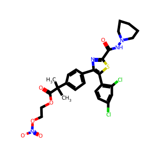 CC(C)(C(=O)OCCO[N+](=O)[O-])c1ccc(-c2nc(C(=O)NN3CCCCC3)sc2-c2ccc(Cl)cc2Cl)cc1